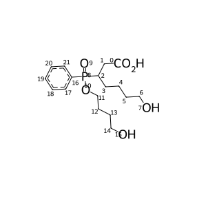 O=C(O)CC(CCCCO)P(=O)(OCCCCO)c1ccccc1